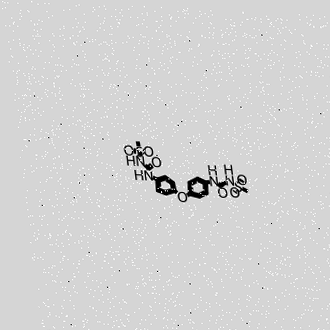 CS(=O)(=O)NC(=O)Nc1ccc(Oc2ccc(NC(=O)NS(C)(=O)=O)cc2)cc1